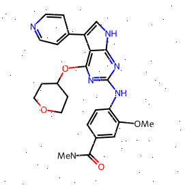 CNC(=O)c1ccc(Nc2nc(OC3CCOCC3)c3c(-c4ccncc4)c[nH]c3n2)c(OC)c1